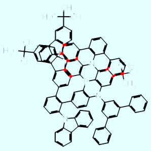 CC(C)(C)c1cc2c3c(c1)N(c1c(-c4ccccc4)cccc1-c1ccccc1)c1cc(-n4c5ccc(C(C)(C)C)cc5c5cc(C(C)(C)C)ccc54)ccc1B3c1cc(-c3c(-c4ccc5sc6ccccc6c5c4)cccc3-n3c4ccccc4c4ccccc43)ccc1N2c1cc(-c2ccccc2)cc(-c2ccccc2)c1